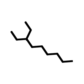 CCCCCC[C](CC)CC